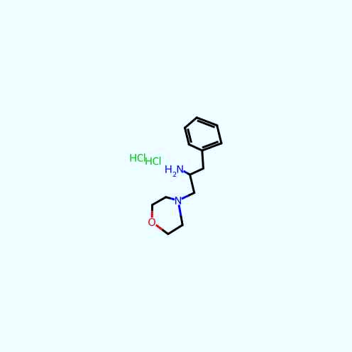 Cl.Cl.NC(Cc1ccccc1)CN1CCOCC1